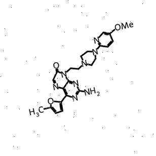 COc1ccc(N2CCN(CCn3c(=O)cnc4c(-c5ccc(C)o5)nc(N)nc43)CC2)nc1